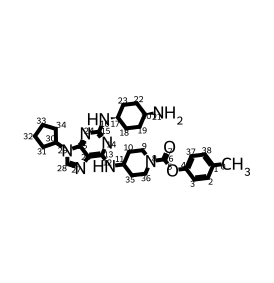 Cc1ccc(OC(=O)N2CCC(Nc3nc(N[C@H]4CC[C@H](N)CC4)nc4c3ncn4C3CCCC3)CC2)cc1